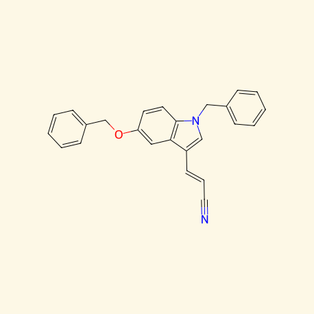 N#C/C=C/c1cn(Cc2ccccc2)c2ccc(OCc3ccccc3)cc12